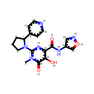 Cn1c(N2CCCC2c2ccncc2)nc(C(=O)Nc2cnoc2)c(O)c1=O